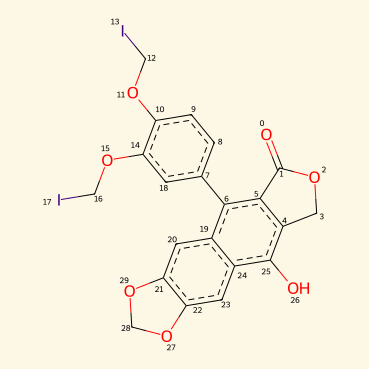 O=C1OCc2c1c(-c1ccc(OCI)c(OCI)c1)c1cc3c(cc1c2O)OCO3